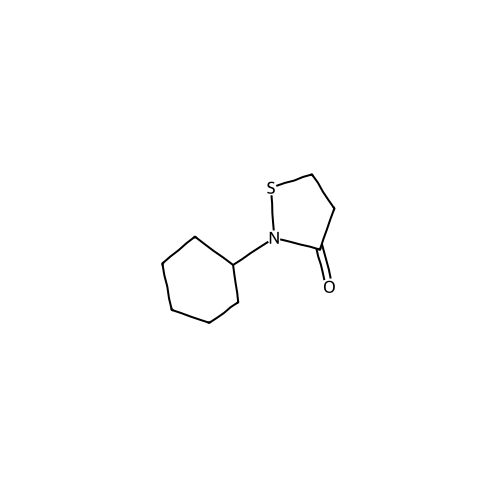 O=C1CCSN1C1CCCCC1